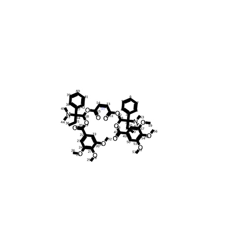 CCC(c1ccccc1)(C(OC(=O)/C=C\C(=O)OC(OC(=O)c1cc(OC)c(OC)c(OC)c1)C(CC)(c1ccccc1)N(C)C)OC(=O)c1cc(OC)c(OC)c(OC)c1)N(C)C